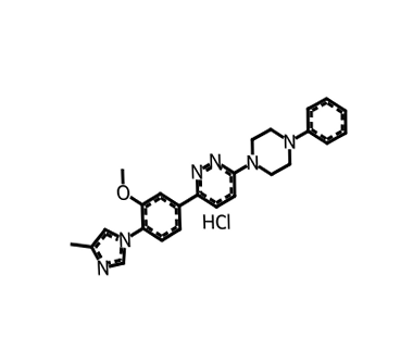 COc1cc(-c2ccc(N3CCN(c4ccccc4)CC3)nn2)ccc1-n1cnc(C)c1.Cl